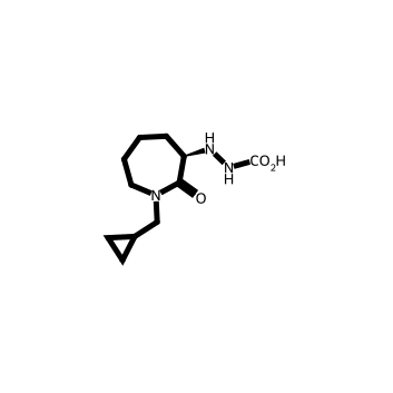 O=C(O)NN[C@@H]1CCCCN(CC2CC2)C1=O